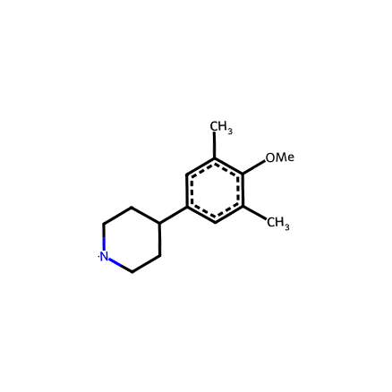 COc1c(C)cc(C2CC[N]CC2)cc1C